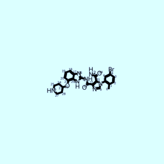 Cc1ccc(Br)cc1-n1cnc(C(=O)Nc2nc3cccc(OC4CCNCC4)c3[nH]2)c1C(N)=O